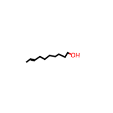 C/C=C/CCCCCCCO